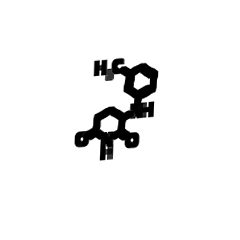 Cc1cccc(NC2CCC(=O)NC2=O)c1